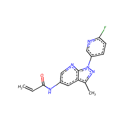 C=CC(=O)Nc1cnc2c(c1)c(C)nn2-c1ccc(F)nc1